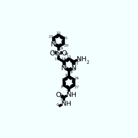 CNC(=O)Nc1ccc(-c2nc(N)cc(CS(=O)(=O)c3ccccn3)n2)cc1